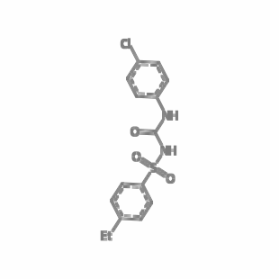 CCc1ccc(S(=O)(=O)NC(=O)Nc2ccc(Cl)cc2)cc1